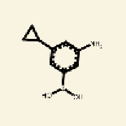 Nc1cc(B(O)O)cc(C2CC2)c1